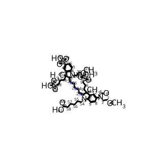 COCCN(C=O)c1ccc2c(c1)C(C)(CCCS(=O)(=O)O)\C(=C/C=C/C=C/C1=[N+](CCOC)c3ccc(S(=O)(=O)O)cc3C1(C)CCCS(=O)(=O)O)N2CCCCCC(=O)O